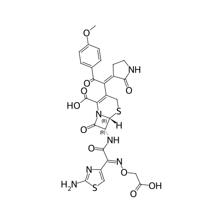 COc1ccc(C(=O)C(=C2CCNC2=O)C2=C(C(=O)O)N3C(=O)[C@@H](NC(=O)C(=NOCC(=O)O)c4csc(N)n4)[C@H]3SC2)cc1